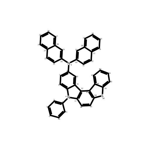 c1ccc(-n2c3ccc(N(c4ccc5ccccc5c4)c4ccc5ccccc5c4)cc3c3c4c(ccc32)sc2ccccc24)cc1